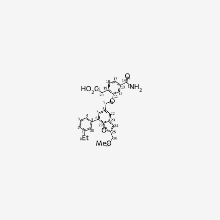 CCc1cccc(-c2cc(COc3cc(C(N)=O)ccc3CC(=O)O)cc3cc(COC)oc23)c1